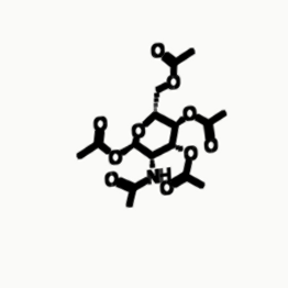 CC(=O)N[C@@H]1[C@@H](OC(C)=O)O[C@H](COC(C)=O)[C@@H](OC(C)=O)[C@@H]1OC(C)=O